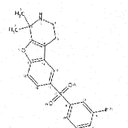 CC1(C)NCCc2c1oc1ccc(S(=O)(=O)c3cccc(F)c3)cc21